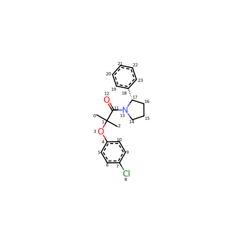 CC(C)(Oc1ccc(Cl)cc1)C(=O)N1CCC[C@H]1c1ccccc1